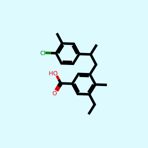 CCc1cc(C(=O)O)cc(CC(C)c2ccc(Cl)c(C)c2)c1C